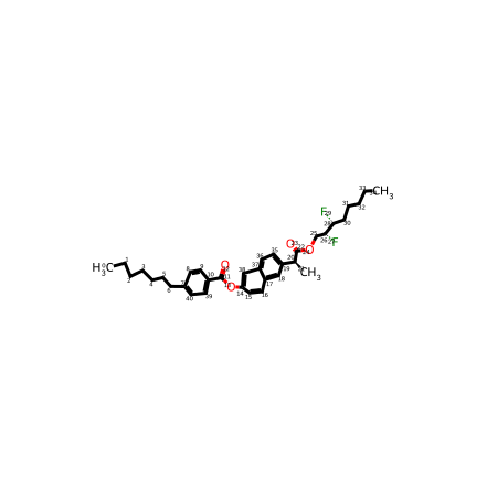 CCCCCCCc1ccc(C(=O)Oc2ccc3cc([C@H](C)C(=O)OC[C@@H](F)[C@H](F)CCCCC)ccc3c2)cc1